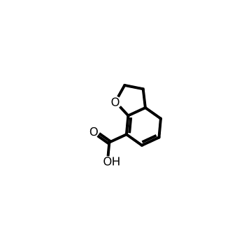 O=C(O)C1=C2OCCC2CC=C1